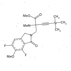 CNC(C#C[Si](C)(C)C)(CN1Cc2cc(F)c(OC)c(F)c2C1=O)C(=O)OC